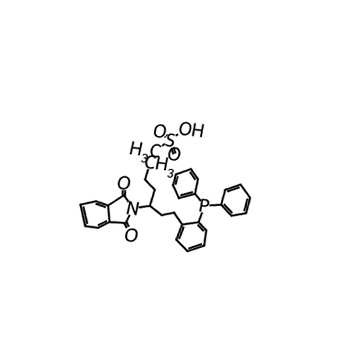 CCCC(CCc1ccccc1P(c1ccccc1)c1ccccc1)N1C(=O)c2ccccc2C1=O.CS(=O)(=O)O